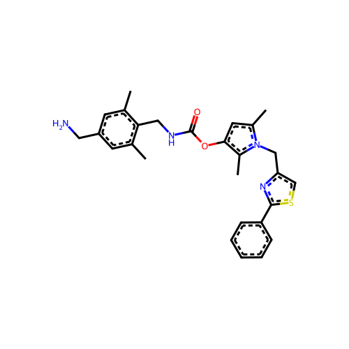 Cc1cc(CN)cc(C)c1CNC(=O)Oc1cc(C)n(Cc2csc(-c3ccccc3)n2)c1C